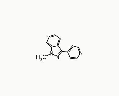 Cn1nc(-c2ccncc2)c2cc[c]cc21